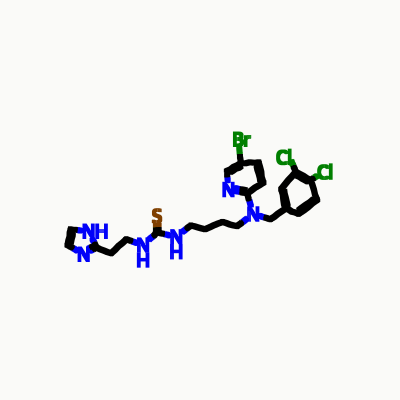 S=C(NCCCCN(Cc1ccc(Cl)c(Cl)c1)c1ccc(Br)cn1)NCCc1ncc[nH]1